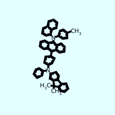 Cc1ccc(N(c2cccc3ccccc23)c2c3ccccc3c(-c3ccc(N(c4ccccc4)c4ccc5c(c4)C(C)(C)c4ccccc4-5)cc3)c3ccccc23)cc1